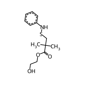 CC(C)(CSNc1ccccc1)C(=O)OCCO